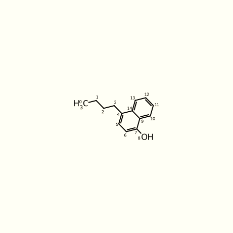 CCCCc1ccc(O)c2ccccc12